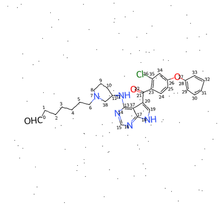 O=CCCCCCCN1CCC[C@@H](Nc2ncnc3[nH]cc(C(=O)c4ccc(Oc5ccccc5)cc4Cl)c23)C1